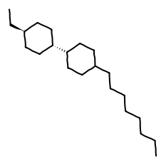 CCCCCCCCC1CCC([C@H]2CC[C@H](CC)CC2)CC1